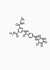 CN(C)CNC(=O)c1cc(NC(=O)c2ccc(NN=C3C(=O)NC(=O)NC3=O)cc2)cc(C(N)=O)c1